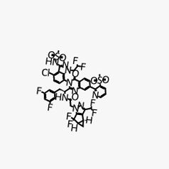 CS(=O)(=O)Nc1nn(CC(F)F)c2c(-n3c([C@H](Cc4cc(F)cc(F)c4)NC(=O)Cn4nc(C(F)F)c5c4C(F)(F)[C@@H]4C[C@H]54)nc4cc(-c5ncccc5S(C)(=O)=O)ccc4c3=O)ccc(Cl)c12